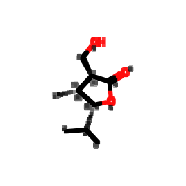 CC(C)[C@H]1OC(=O)[C@H](CO)[C@H]1C